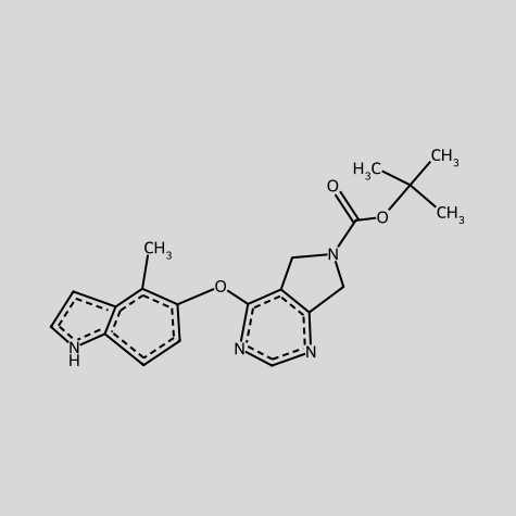 Cc1c(Oc2ncnc3c2CN(C(=O)OC(C)(C)C)C3)ccc2[nH]ccc12